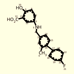 Cc1cc(CNc2ccc(O)c(C(=O)O)c2)ccc1-c1ccc(F)cc1